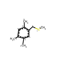 CSCc1cc(C)c(C)cc1C